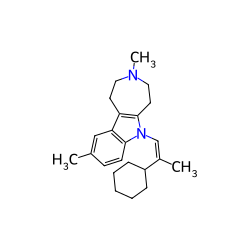 C/C(=C/n1c2c(c3cc(C)ccc31)CCN(C)CC2)C1CCCCC1